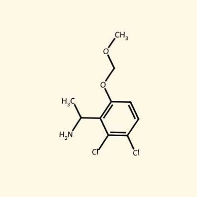 COCOc1ccc(Cl)c(Cl)c1[C](C)N